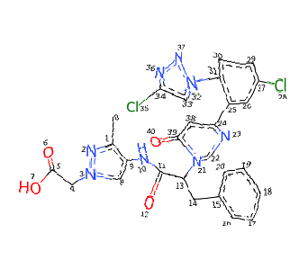 Cc1nn(CC(=O)O)cc1NC(=O)C(Cc1ccccc1)n1cnc(-c2cc(Cl)ccc2-n2cc(Cl)nn2)cc1=O